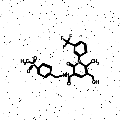 Cc1c(CO)cc(C(=O)NCc2ccc(S(C)(=O)=O)cc2)c(=O)n1-c1cccc(C(F)(F)F)c1